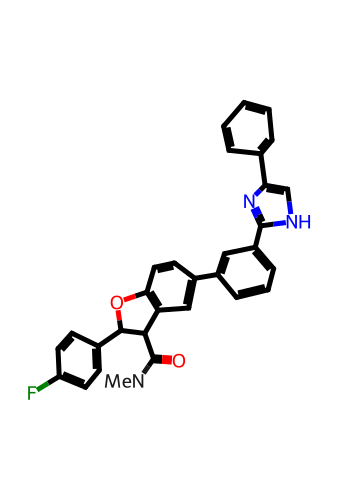 CNC(=O)C1c2cc(-c3cccc(-c4nc(-c5ccccc5)c[nH]4)c3)ccc2OC1c1ccc(F)cc1